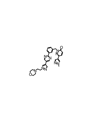 Cn1cc(-c2ccc(=O)n(Cc3cccc(-c4ncc(-c5cnn(CCN6CCOCC6)c5)cn4)c3)n2)cn1